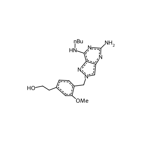 CCCCNc1nc(N)nc2cn(Cc3ccc(CCO)cc3OC)nc12